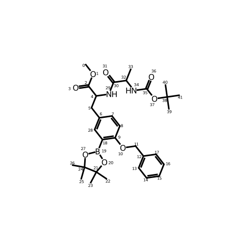 COC(=O)C(Cc1ccc(OCc2ccccc2)c(B2OC(C)(C)C(C)(C)O2)c1)NC(=O)C(C)NC(=O)OC(C)(C)C